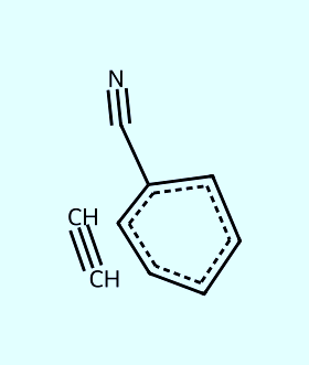 C#C.N#Cc1ccccc1